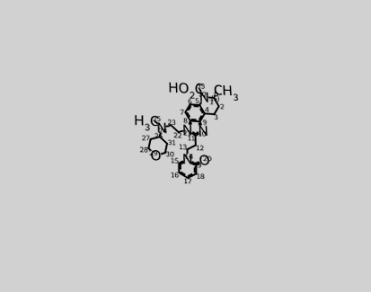 C[C@H]1CCc2c(ccc3c2nc(CCn2ccccc2=O)n3CCN(C)C2CCOCC2)N1C(=O)O